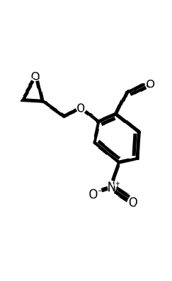 O=Cc1ccc([N+](=O)[O-])cc1OCC1CO1